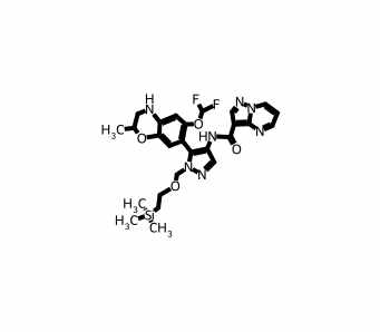 CC1CNc2cc(OC(F)F)c(-c3c(NC(=O)c4cnn5cccnc45)cnn3COCC[Si](C)(C)C)cc2O1